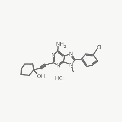 Cl.Cn1c(-c2cccc(Cl)c2)nc2c(N)nc(C#CC3(O)CCCCC3)nc21